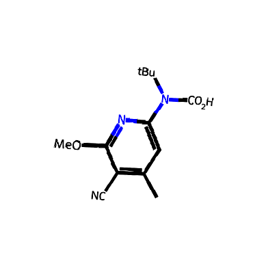 COc1nc(N(C(=O)O)C(C)(C)C)cc(C)c1C#N